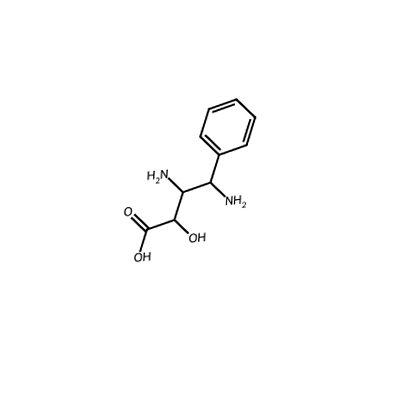 NC(c1ccccc1)C(N)C(O)C(=O)O